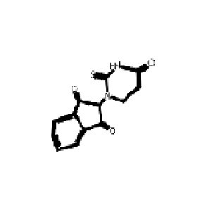 O=C1CCN(C2C(=O)c3ccccc3C2=O)C(=S)N1